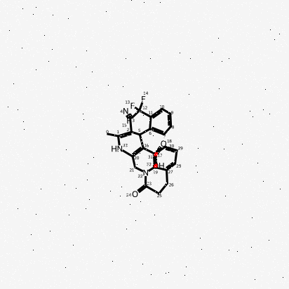 CC1=C(C#N)C(c2ccccc2C(F)(F)F)C(C(=O)O)=C(CN2C(=O)CCc3ccccc32)N1